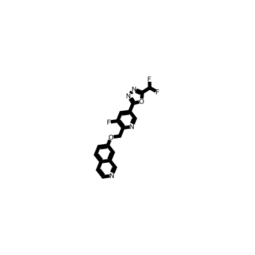 Fc1cc(-c2nnc(C(F)F)o2)cnc1COc1ccc2ccncc2c1